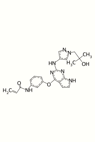 C=CC(=O)Nc1cccc(Oc2nc(Nc3cnn(CC(C)(C)O)c3)nc3[nH]ccc23)c1